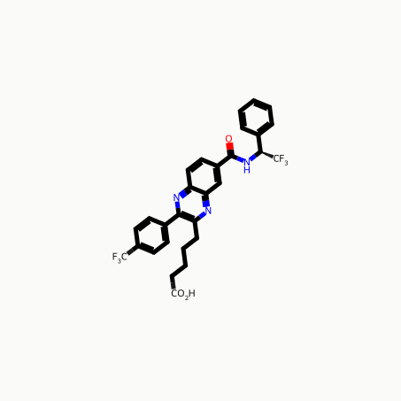 O=C(O)CCCCc1nc2cc(C(=O)N[C@@H](c3ccccc3)C(F)(F)F)ccc2nc1-c1ccc(C(F)(F)F)cc1